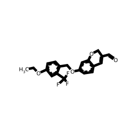 CCOc1ccc(COc2ccc3c(c2)OCC(C=O)=C3)c(C(F)(F)F)c1